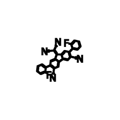 N#CC(C#N)=C1c2cc(-c3ccccc3F)c(C#N)cc2-c2cc(C#N)c(-c3ccccc3F)cc21